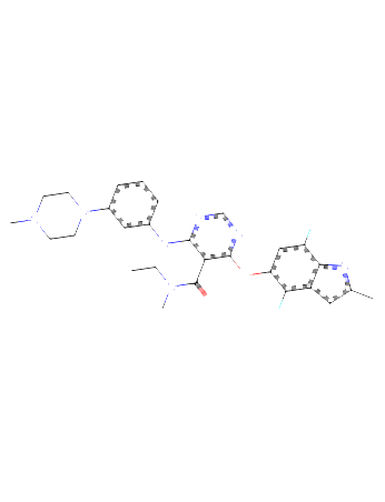 CCN(C)C(=O)c1c(Nc2cccc(N3CCN(C)CC3)c2)ncnc1Oc1cc(F)c2[nH]c(C)cc2c1F